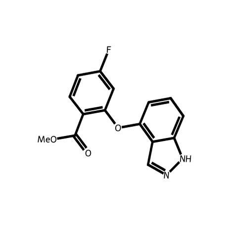 COC(=O)c1ccc(F)cc1Oc1cccc2[nH]ncc12